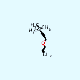 C=CCOCC#C[Si](C)(C)C